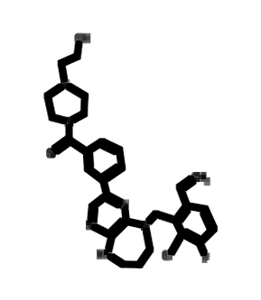 C=Cc1ccc(F)c(Cl)c1CN1CCCNc2ncc(-c3cccc(C(=O)N4CCN(CCO)CC4)c3)nc21